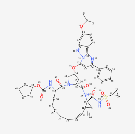 CC(C)Oc1ccc2c(c1)nn1c(O[C@@H]3C[C@H]4C(=O)N[C@]5(C(=O)NS(=O)(=O)C6CC6)C[C@H]5/C=C\CCCCC[C@H](NC(=O)OC5CCCC5)C(=O)N4C3)cc(-c3ccccc3)nc21